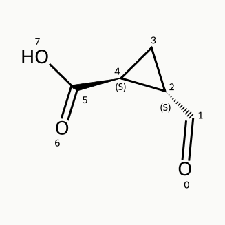 O=C[C@H]1C[C@@H]1C(=O)O